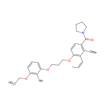 C/C=C\c1c(OCCCOc2cccc(OCC(=O)O)c2CCC)ccc(C(=O)N2CCCC2)c1OC